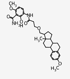 COc1ccc2c(c1)CCC1C2CCC2(C)C(COCCC(=O)Nc3ccc(OC)c(C(N)=O)c3O)CCC12